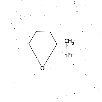 [CH2]CCC.[CH]1CCCC2OC12